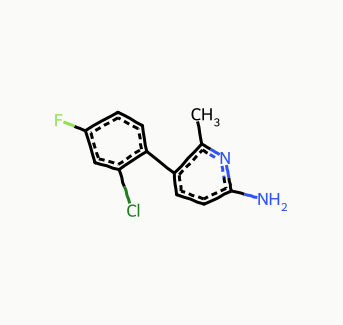 Cc1nc(N)ccc1-c1ccc(F)cc1Cl